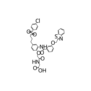 O=C(O)CNC(=O)COc1ccc(CCCS(=O)(=O)c2ccc(Cl)cc2)cc1NC(=O)c1cccc(OCc2nc3ccccc3s2)c1